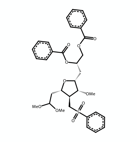 COC(C[C@@H]1O[C@H](C[C@@H](COC(=O)c2ccccc2)OC(=O)c2ccccc2)[C@H](OC)[C@H]1CS(=O)(=O)c1ccccc1)OC